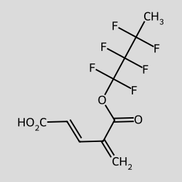 C=C(C=CC(=O)O)C(=O)OC(F)(F)C(F)(F)C(C)(F)F